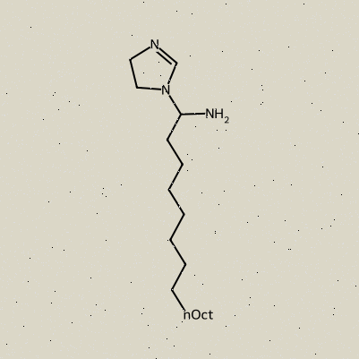 CCCCCCCCCCCCCCCC(N)N1C=NCC1